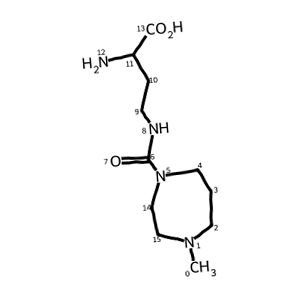 CN1CCCN(C(=O)NCCC(N)C(=O)O)CC1